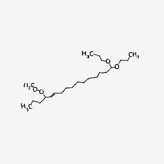 CCCOC(CCCCCCCCCC=CC(CCC)OOC)OCCC